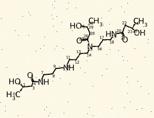 C[C@@H](O)CC(=O)NCCCNCCCCN(CCCNC(=O)C[C@@H](C)O)C(=O)C[C@@H](C)O